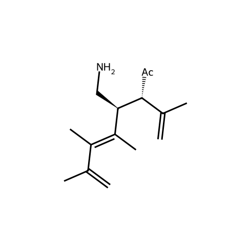 C=C(C)/C(C)=C(\C)[C@@H](CN)[C@@H](C(=C)C)C(C)=O